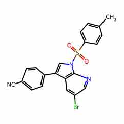 Cc1ccc(S(=O)(=O)n2cc(-c3ccc(C#N)cc3)c3cc(Br)cnc32)cc1